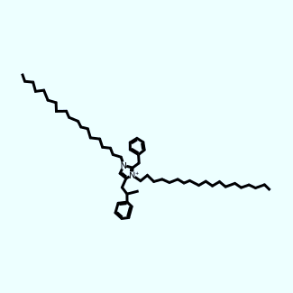 CCCCCCCCCCCCCCCCCCCn1cc(CC(C)c2ccccc2)[n+](CCCCCCCCCCCCCCCCCCC)c1Cc1ccccc1